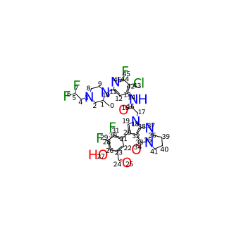 CC1CN(CC(F)F)CCN1c1cc(NC(=O)Cn2cc(-c3cc(C=O)c(O)c(F)c3F)c3c(=O)n4c(nc32)CCC4)c(Cl)c(F)n1